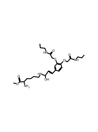 CCCNC(=O)COc1ccc(/C=C/C(O)NCCCCC(N)C(=O)OC)cc1OCC(=O)NCCC